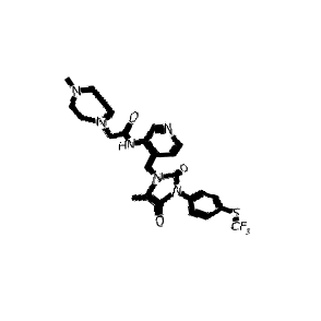 CC1C(=O)N(c2ccc(SC(F)(F)F)cc2)C(=O)N1Cc1ccncc1NC(=O)CN1CCN(C)CC1